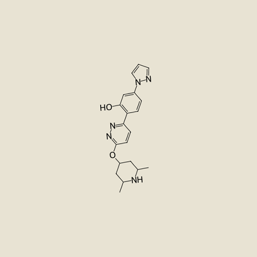 CC1CC(Oc2ccc(-c3ccc(-n4cccn4)cc3O)nn2)CC(C)N1